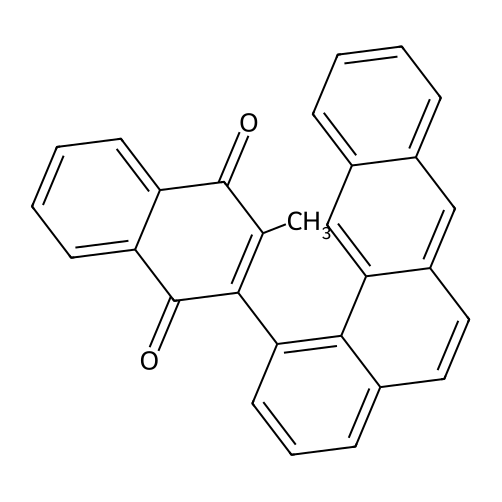 CC1=C(c2cccc3ccc4cc5ccccc5cc4c23)C(=O)c2ccccc2C1=O